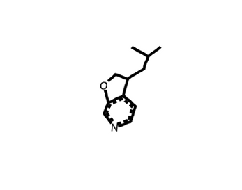 CC(C)CC1COc2cnccc21